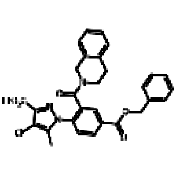 CCOC(=O)c1nn(-c2ccc(C(=O)OCc3ccccc3)cc2C(=O)N2CCc3ccccc3C2)c(C)c1Cl